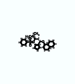 CN(C)C(C[C@H](Oc1cccc2ccccc12)c1cccs1)OS(=O)(=O)c1ccccc1